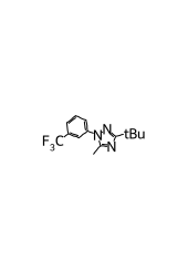 Cc1nc(C(C)(C)C)nn1-c1cccc(C(F)(F)F)c1